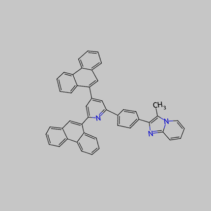 Cc1c(-c2ccc(-c3cc(-c4cc5ccccc5c5ccccc45)cc(-c4cc5ccccc5c5ccccc45)n3)cc2)nc2ccccn12